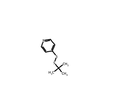 CC(C)(C)SSc1ccncc1